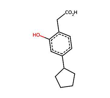 O=C(O)Cc1ccc(C2CCCC2)cc1O